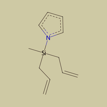 C=CC[Si](C)(CC=C)n1cccc1